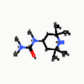 CCN(CC)C(=O)N(CC)C1CC(C)(C)NC(C)(C)C1